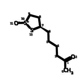 CC(=O)CCCC[C@@H]1CC[S+]([O-])S1